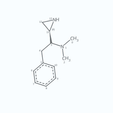 CN(C)C(Cc1ccccc1)[C@H]1CN1